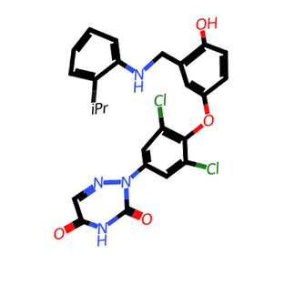 CC(C)c1ccccc1NCc1cc(Oc2c(Cl)cc(-n3ncc(=O)[nH]c3=O)cc2Cl)ccc1O